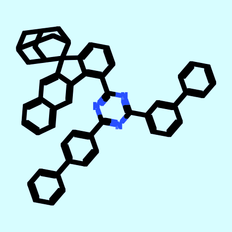 c1ccc(-c2ccc(-c3nc(-c4cccc(-c5ccccc5)c4)nc(-c4cccc5c4-c4cc6ccccc6cc4C54C5CC6CC(C5)CC4C6)n3)cc2)cc1